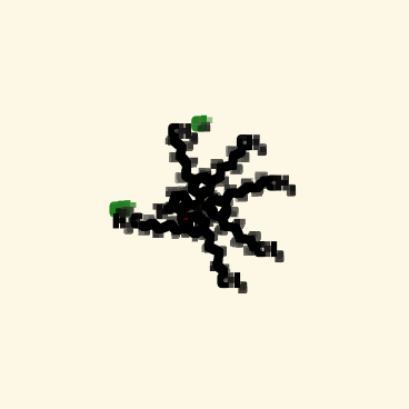 CCCCCCc1cc(CCCCCC)cc([Si](C2=C(C)[C]([Ti+3])=CC2)(c2cc(CCCCCC)cc(CCCCCC)c2)c2cc(CCCCCC)cc(CCCCCC)c2)c1.[Cl-].[Cl-].[Cl-]